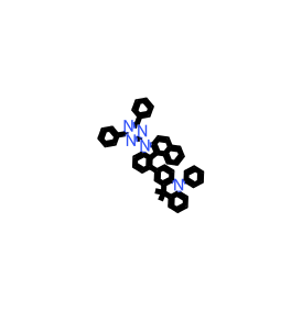 CC1(C)c2ccccc2N(c2ccccc2)c2ccc(-c3cccc4c3c3c5ccccc5ccc3n4-c3nc(-c4ccccc4)nc(-c4ccccc4)n3)cc21